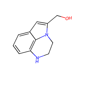 OCc1cc2cccc3c2n1CCN3